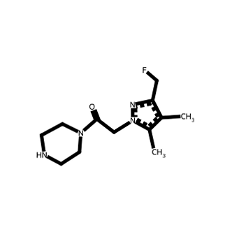 Cc1c(CF)nn(CC(=O)N2CCNCC2)c1C